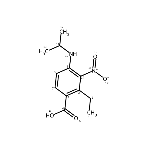 CCc1c(C(=O)O)ccc(NC(C)C)c1[N+](=O)[O-]